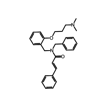 CN(C)CCCOc1ccccc1CN(Cc1ccccc1)C(=O)C=Cc1ccccc1